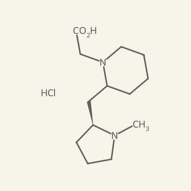 CN1CCC[C@H]1CC1CCCCN1CC(=O)O.Cl